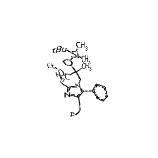 CCOCc1nc(CF)c(-c2ccccc2)n1CC(C)(C)O[Si](C)(C)C(C)(C)C